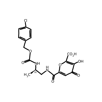 C[C@H](CNC(=O)c1cc(=O)c(O)c(C(=O)O)o1)NC(=O)OCc1ccc(Cl)cc1